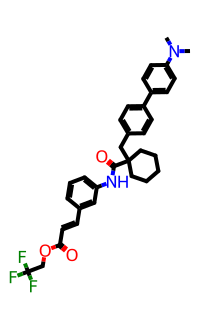 CN(C)c1ccc(-c2ccc(CC3(C(=O)Nc4cccc(/C=C/C(=O)OCC(F)(F)F)c4)CCCCC3)cc2)cc1